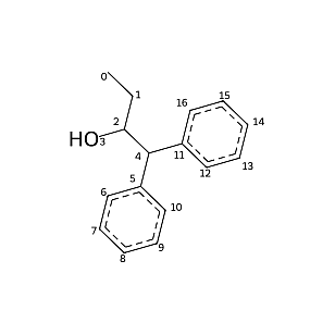 CCC(O)C(c1ccccc1)c1ccccc1